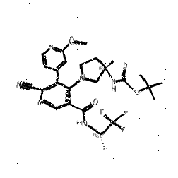 COc1cc(-c2c(C#N)ncc(C(=O)N[C@@H](C)C(F)(F)F)c2N2CC[C@](C)(NC(=O)OC(C)(C)C)C2)ccn1